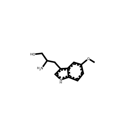 COc1ccc2[nH]cc(CC(N)CO)c2c1